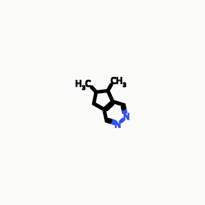 CC1Cc2cnncc2C1C